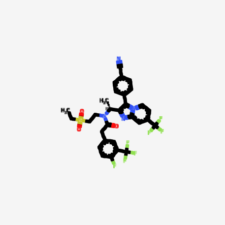 CCS(=O)(=O)CCN(C(=O)Cc1ccc(F)c(C(F)(F)F)c1)[C@H](C)c1nc2cc(C(F)(F)F)ccn2c1-c1ccc(C#N)cc1